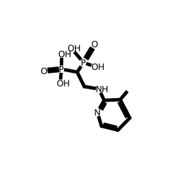 Cc1cccnc1NCC(P(=O)(O)O)P(=O)(O)O